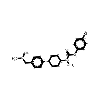 CN(C)Cc1ccc([C@H]2CC[C@H](N(C)C(=S)Oc3ccc(Cl)cc3)CC2)cc1